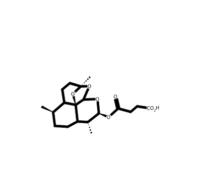 C[C@@H]1CCC2[C@@H](C)[C@H](OC(=O)CCC(=O)O)OC3O[C@]4(C)CCC1[C@]32O4